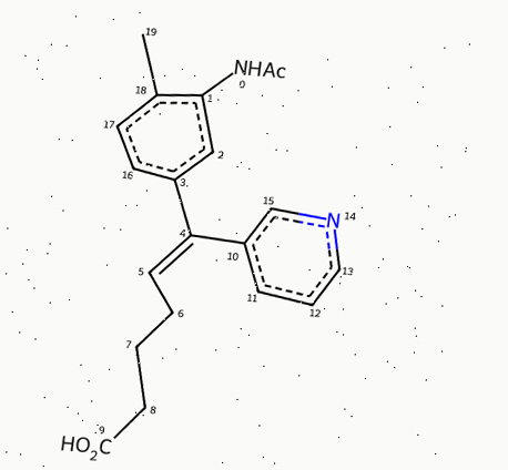 CC(=O)Nc1cc(C(=CCCCC(=O)O)c2cccnc2)ccc1C